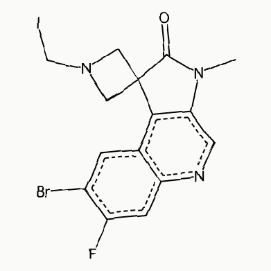 CN1C(=O)C2(CN(CI)C2)c2c1cnc1cc(F)c(Br)cc21